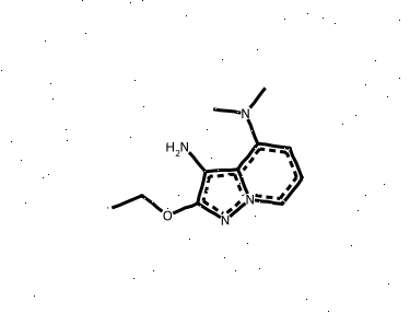 [CH2]COc1nn2cccc(N(C)C)c2c1N